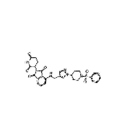 O=C1CCC(N2C(=O)c3cccc(NCc4cnn(C5CCN(S(=O)(=O)c6ccccc6)CC5)c4)c3C2=O)C(=O)N1